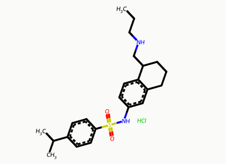 CCCNCC1CCCc2cc(NS(=O)(=O)c3ccc(C(C)C)cc3)ccc21.Cl